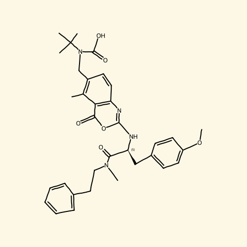 COc1ccc(C[C@H](Nc2nc3ccc(CN(C(=O)O)C(C)(C)C)c(C)c3c(=O)o2)C(=O)N(C)CCc2ccccc2)cc1